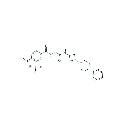 COc1ccc(C(=O)NCC(=O)NC2CN([C@H]3CC[C@@H](c4ccccc4)CC3)C2)cc1C(F)(F)F